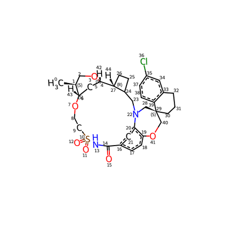 C[C@H]1CO[C@H]2C[C@@H]1OCCS(=O)(=O)NC(=O)c1ccc3c(c1)N(CC1CC[C@H]12)C[C@@]1(CCCc2cc(Cl)ccc21)CO3